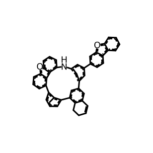 Cc1c2cccc1-c1cccc3oc4cccc(c4c13)Nc1cc(cc(-c3ccc4c(c3)oc3ccccc34)c1)-c1cc3c(c-2c1)CCC=C3